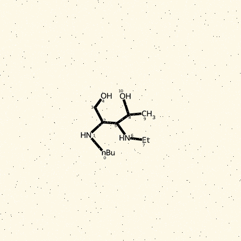 CCCCNC(CO)C(NCC)C(C)O